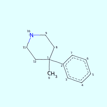 CC1(c2ccccc2)CC[N]CC1